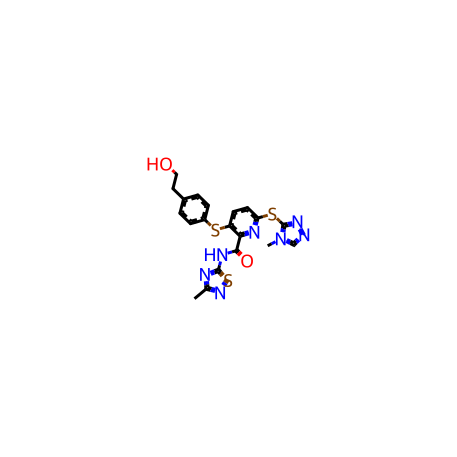 Cc1nsc(NC(=O)c2nc(Sc3nncn3C)ccc2Sc2ccc(CCO)cc2)n1